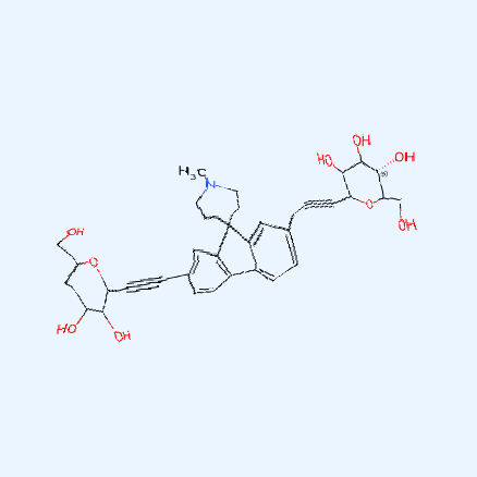 CN1CCC2(CC1)c1cc(C#CC3OC(CO)CC(O)C3O)ccc1-c1ccc(C#CC3OC(CO)[C@@H](O)C(O)C3O)cc12